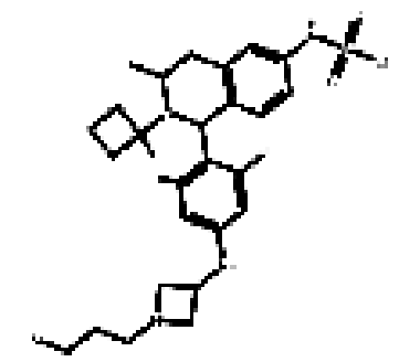 CCS(=O)(=O)Nc1ccc2c(c1)CC(C)N(C1(C)CCC1)C2c1c(F)cc(NC2CN(CCCF)C2)cc1F